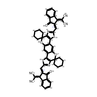 N#CC(C#N)=C1/C(=C/c2nc3c(s2)-c2cc4c(cc2OC32CCCCC2)-c2sc(/C=C3\C(=O)c5ccccc5C3=C(C#N)C#N)nc2C2(CCCCC2)O4)C(=O)c2ccccc21